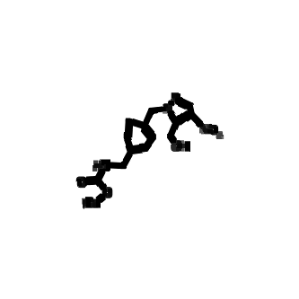 CC(C)(C)OC(=O)NCc1ccc(Cn2ncc([N+](=O)[O-])c2CO)cc1